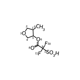 CC1COCC1OC(=O)C(F)(F)S(=O)(=O)O